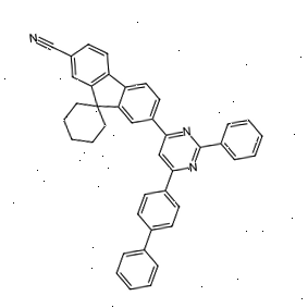 N#Cc1ccc2c(c1)C1(CCCCC1)c1cc(-c3cc(-c4ccc(-c5ccccc5)cc4)nc(-c4ccccc4)n3)ccc1-2